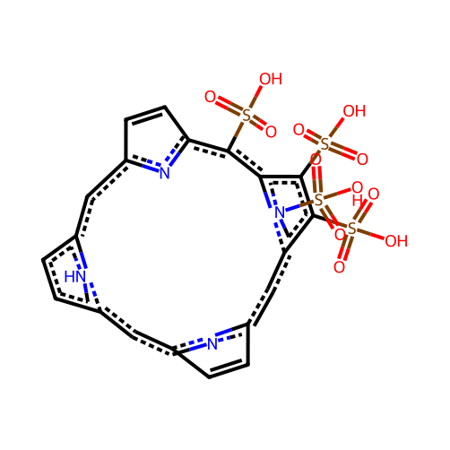 O=S(=O)(O)c1c(S(=O)(=O)O)c2c(S(=O)(=O)O)c3nc(cc4ccc(cc5nc(cc1n2S(=O)(=O)O)C=C5)[nH]4)C=C3